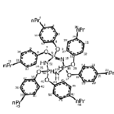 CCCc1ccc(OP2(Oc3ccc(CCC)cc3)=N[PH](Oc3ccc(CCC)cc3)(Oc3ccc(CCC)cc3)N[PH](Oc3ccc(CCC)cc3)(Oc3ccc(CCC)cc3)N2)cc1